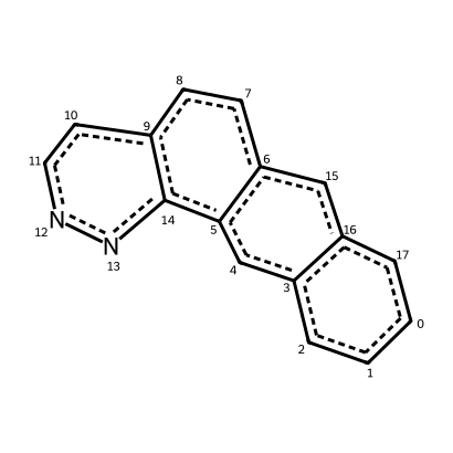 c1ccc2cc3c(ccc4ccnnc43)cc2c1